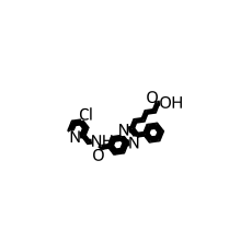 O=C(O)CCCCc1nc2cc(C(=O)NCc3cc(Cl)ccn3)ccc2nc1-c1ccccc1